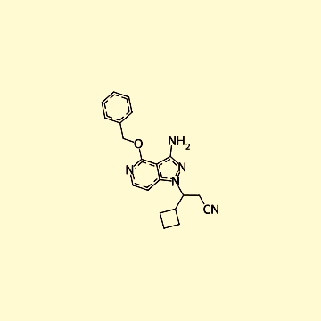 N#CCC(C1CCC1)n1nc(N)c2c(OCc3ccccc3)nccc21